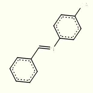 CC(=O)Oc1ccc(N=Cc2ccccc2)cc1